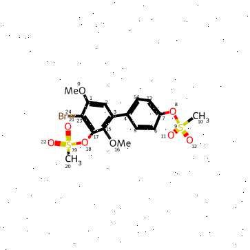 COc1cc(-c2ccc(OS(C)(=O)=O)cc2)c(OC)c(OS(C)(=O)=O)c1Br